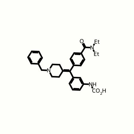 CCN(CC)C(=O)c1ccc(C(=C2CCN(Cc3ccccc3)CC2)c2cccc(NC(=O)O)c2)cc1